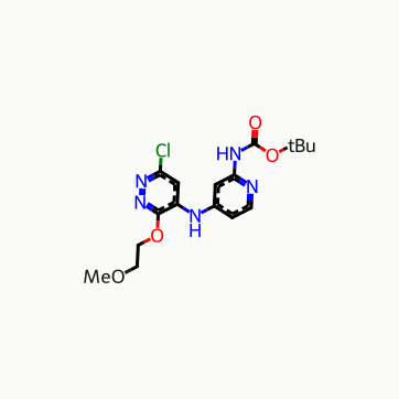 COCCOc1nnc(Cl)cc1Nc1ccnc(NC(=O)OC(C)(C)C)c1